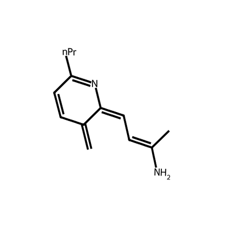 C=c1ccc(CCC)n/c1=C/C=C(\C)N